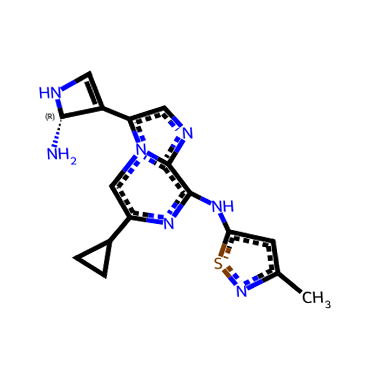 Cc1cc(Nc2nc(C3CC3)cn3c(C4=CN[C@H]4N)cnc23)sn1